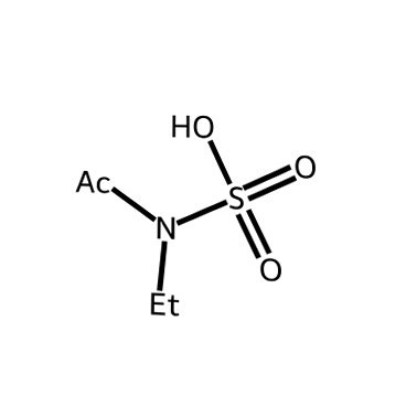 [CH2]C(=O)N(CC)S(=O)(=O)O